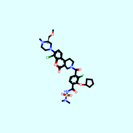 COC[C@H]1CN(c2ccc3c4c(c(=O)oc3c2Cl)CN(C(=O)c2ccc(C(=O)NS(=O)(=O)N(C)C)c(OC3CCCC3)c2F)CC4)CCN1C